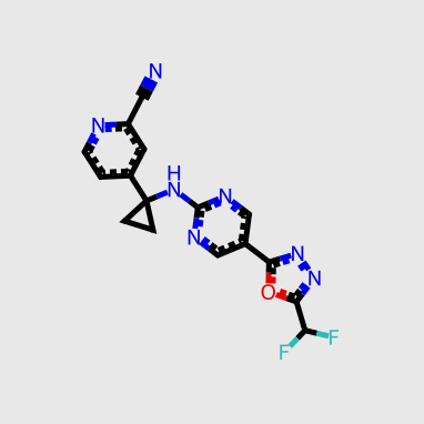 N#Cc1cc(C2(Nc3ncc(-c4nnc(C(F)F)o4)cn3)CC2)ccn1